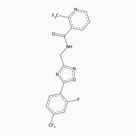 O=C(NCc1noc(-c2ccc(C(F)(F)F)cc2F)n1)c1cccnc1C(F)(F)F